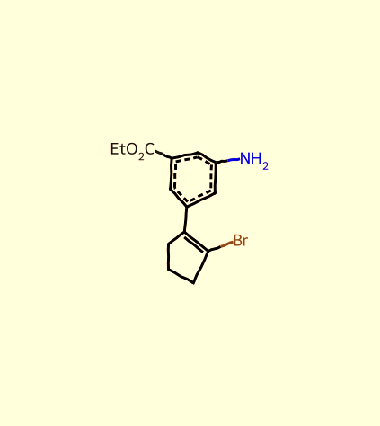 CCOC(=O)c1cc(N)cc(C2=C(Br)CCC2)c1